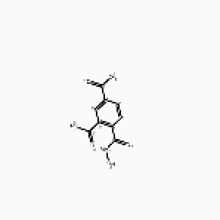 O=C(O)c1ccc(C(=O)NO)c(C(=O)O)c1